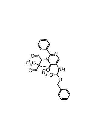 CC(C)([C]=O)C(C=O)n1c(-c2ccccc2)ncc(NC(=O)OCc2ccccc2)c1=O